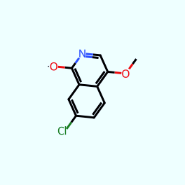 COc1cnc([O])c2cc(Cl)ccc12